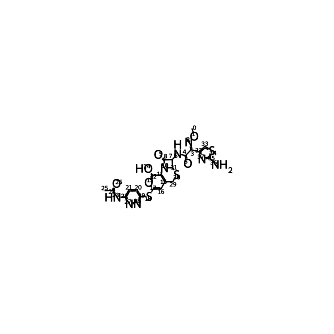 CON=C(C(=O)NC1C(=O)N2C(C(=O)O)=C(C=CSc3ccc(NC(C)=O)nn3)CSC12)c1csc(N)n1